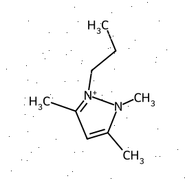 CCC[n+]1c(C)cc(C)n1C